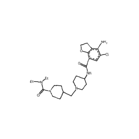 CCN(CC)C(=O)N1CCC(CN2CCC(NC(=O)c3cc(Cl)c(N)c4c3OCC4)CC2)CC1